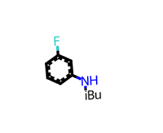 CCC(C)Nc1cccc(F)c1